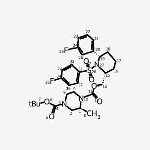 C[C@H]1CN(C(=O)OC(C)(C)C)CCN1C(=O)OC[C@H]1CCC[C@@H](c2cccc(F)c2)N1S(=O)(=O)c1ccc(F)cc1